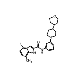 Cc1ccc(F)c2cc(C(=O)Nc3cccc(N4CCN(C5CCOCC5)CC4)c3)[nH]c12